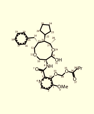 COc1ccnc(C(=O)N[C@H]2COC[C@H](Cc3ccccc3)[C@@H](C3CCCC3)[C@H](C)OC2O)c1OCOC(=O)C(C)C